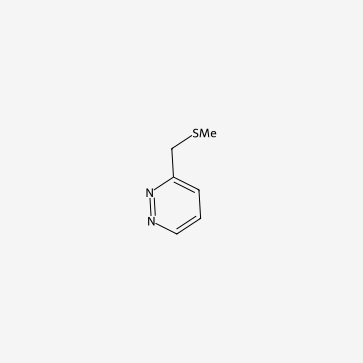 CSCc1cccnn1